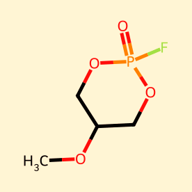 COC1COP(=O)(F)OC1